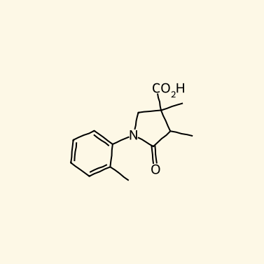 Cc1ccccc1N1CC(C)(C(=O)O)C(C)C1=O